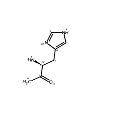 CC(=O)[C@@H]([NH])Cc1c[nH]cn1